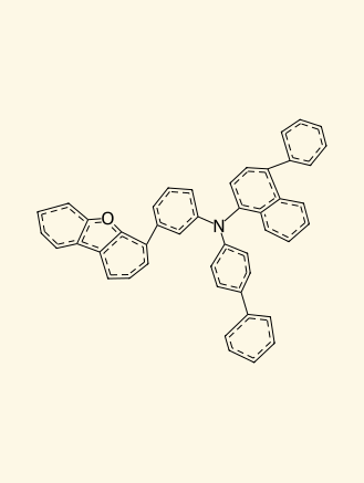 c1ccc(-c2ccc(N(c3cccc(-c4cccc5c4oc4ccccc45)c3)c3ccc(-c4ccccc4)c4ccccc34)cc2)cc1